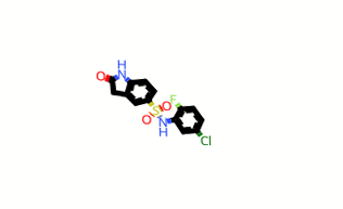 O=C1Cc2cc(S(=O)(=O)Nc3cc(Cl)ccc3F)ccc2N1